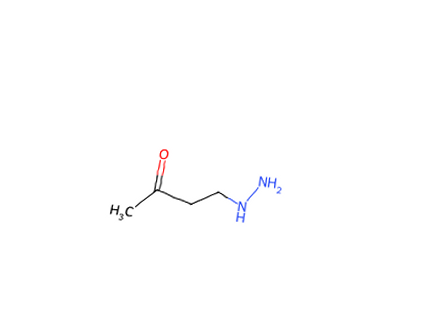 CC(=O)CCNN